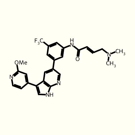 COc1cc(-c2c[nH]c3ncc(-c4cc(NC(=O)C=CCN(C)C)cc(C(F)(F)F)c4)cc23)ccn1